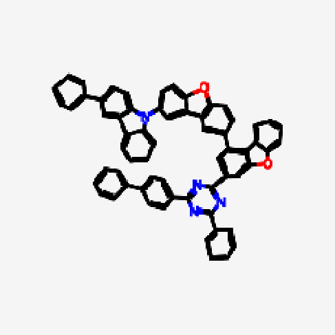 c1ccc(-c2ccc(-c3nc(-c4ccccc4)nc(-c4cc(-c5ccc6oc7ccc(-n8c9ccccc9c9cc(-c%10ccccc%10)ccc98)cc7c6c5)c5c(c4)oc4ccccc45)n3)cc2)cc1